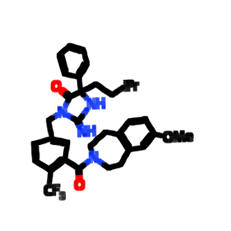 COc1ccc2c(c1)CCN(C(=O)c1cc(CN3C(=N)NC(CCC(C)C)(c4ccccc4)C3=O)ccc1C(F)(F)F)CC2